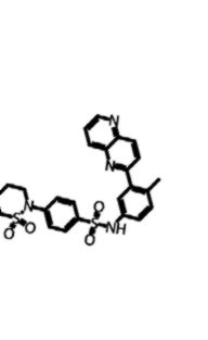 Cc1ccc(NS(=O)(=O)c2ccc(N3CCCCS3(=O)=O)cc2)cc1-c1ccc2ncccc2n1